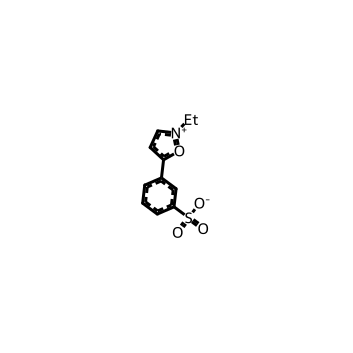 CC[n+]1ccc(-c2cccc(S(=O)(=O)[O-])c2)o1